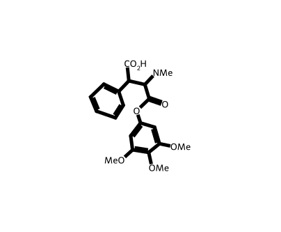 CNC(C(=O)Oc1cc(OC)c(OC)c(OC)c1)C(C(=O)O)c1ccccc1